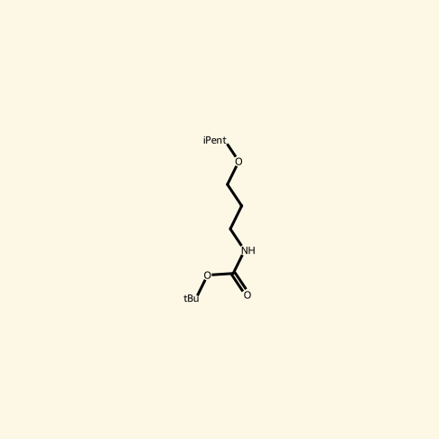 CCCC(C)OCCCNC(=O)OC(C)(C)C